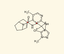 Cc1cnc(Nc2cnn(C)c2Cl)nc1C1=CC2CCC(C1)N2C(=O)NCC(F)(F)F